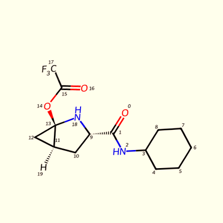 O=C(NC1CCCCC1)[C@@H]1C[C@H]2C[C@]2(OC(=O)C(F)(F)F)N1